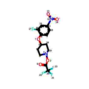 O=C(ON1CCC(Oc2ccc([N+](=O)[O-])cc2F)CC1)C(F)(F)F